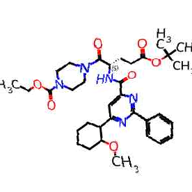 CCOC(=O)N1CCN(C(=O)[C@H](CCC(=O)OC(C)(C)C)NC(=O)c2cc(C3CCCCC3OC)nc(-c3ccccc3)n2)CC1